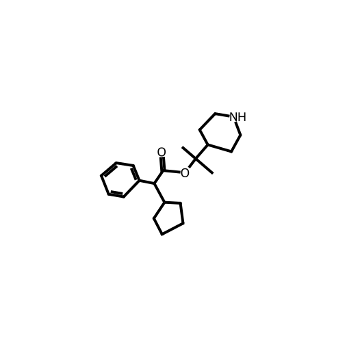 CC(C)(OC(=O)C(c1ccccc1)C1CCCC1)C1CCNCC1